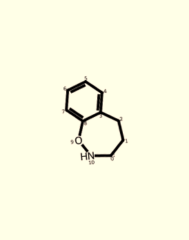 [C]1CCc2ccccc2ON1